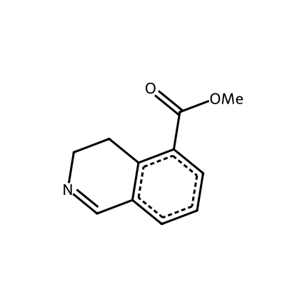 COC(=O)c1cccc2c1CCN=C2